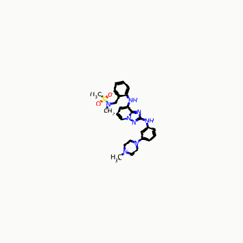 CN1CCN(c2cccc(Nc3nc4c(Nc5ccccc5CN(C)S(C)(=O)=O)cccn4n3)c2)CC1